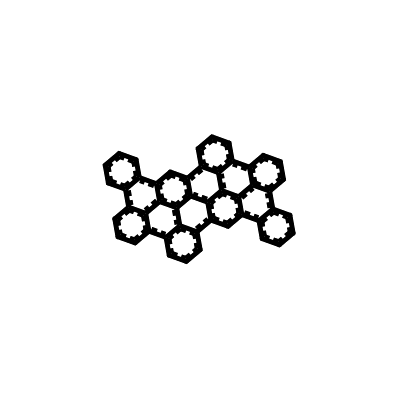 c1ccc2c(c1)c1cccc3c4cccc5c6cc7c8ccccc8c8cccc9c%10cccc%11c%12cc2c(c13)c(c45)c%12c6c(c%10%11)c7c89